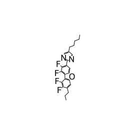 CCCCCc1cnc(-c2cc3oc4cc(CCC)c(F)c(F)c4c3c(F)c2F)nc1